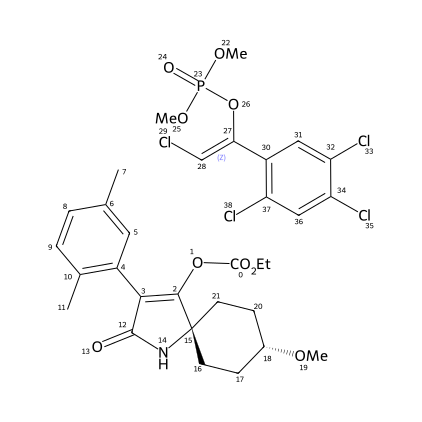 CCOC(=O)OC1=C(c2cc(C)ccc2C)C(=O)N[C@]12CC[C@@H](OC)CC2.COP(=O)(OC)O/C(=C\Cl)c1cc(Cl)c(Cl)cc1Cl